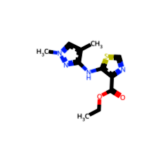 CCOC(=O)c1ncsc1Nc1nn(C)cc1C